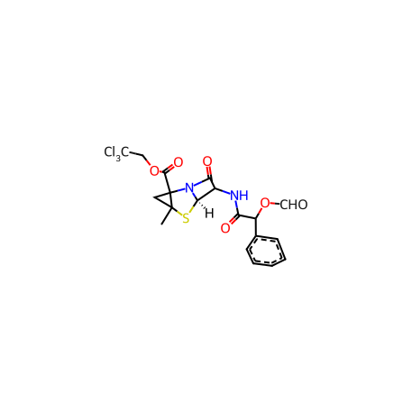 CC12CC1(C(=O)OCC(Cl)(Cl)Cl)N1C(=O)C(NC(=O)C(OC=O)c3ccccc3)[C@H]1S2